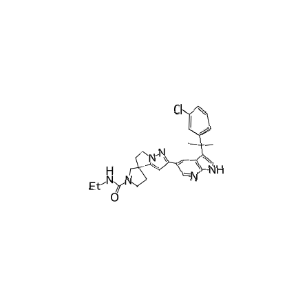 CCNC(=O)N1CCC2(CCn3nc(-c4cnc5[nH]cc(C(C)(C)c6cccc(Cl)c6)c5c4)cc32)C1